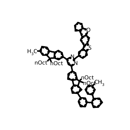 CCCCCCCCC1(CCCCCCCC)c2cc(C)ccc2-c2ccc(-c3cc(-c4ccc5c(c4)C(CCCCCCCC)(CCCCCCCC)c4cc(-c6cccc(-c7ccccc7-c7cccc(C)c7)c6)ccc4-5)nc(-c4ccc5sc6cc7oc8ccccc8c7cc6c5c4)n3)cc21